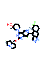 CC[C@@H]1c2c(cc3[nH]ncc3c2-c2ncc3c(N4CCC[C@@](C)(O)C4)nc(OC[C@@]45CCCN4C[C@H](F)C5)nc3c2F)CCC1(F)F